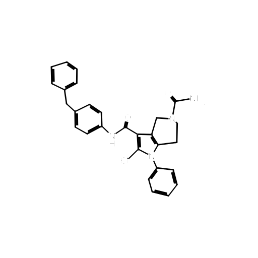 NC(=O)N1CCc2c(c(C(=O)Nc3ccc(Cc4ccccc4)cc3)c(Cl)n2-c2ccccc2)C1